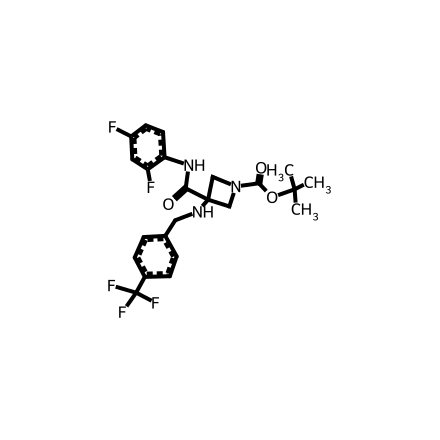 CC(C)(C)OC(=O)N1CC(NCc2ccc(C(F)(F)F)cc2)(C(=O)Nc2ccc(F)cc2F)C1